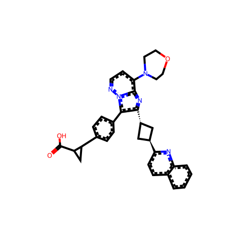 O=C(O)C1CC1c1ccc(-c2c([C@H]3C[C@H](c4ccc5ccccc5n4)C3)nc3c(N4CCOCC4)ccnn23)cc1